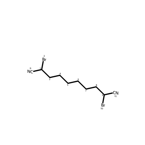 N#CC(Br)CCCCCCC(Br)C#N